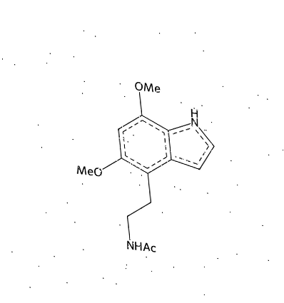 COc1cc(OC)c2[nH]ccc2c1CCNC(C)=O